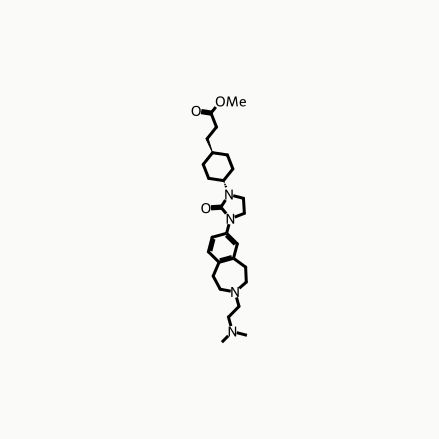 COC(=O)CC[C@H]1CC[C@H](N2CCN(c3ccc4c(c3)CCN(CCN(C)C)CC4)C2=O)CC1